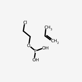 C=CC.OP(O)OCCCl